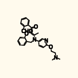 CC1=C(C(=O)c2ccccc2C=O)Oc2ccccc2CN1c1ccc(OCCN(C)C)nc1